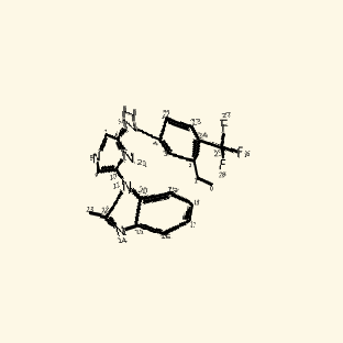 CCc1cc(Nc2cncc(-n3c(C)nc4ccccc43)n2)ccc1C(F)(F)F